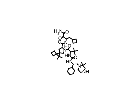 CC(C)(C)[C@@H](NC(=O)N[C@H](CN1CCNCC1(C)C)C1CCCCC1)C(=O)N1CC2(C[C@H]1C(=O)NC(CC1CCC1)C(=O)C(N)=O)C(C)(C)C21CCC1